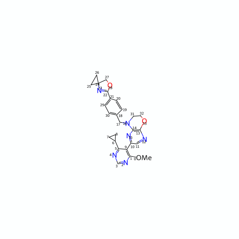 COc1ncnc(C2CC2)c1-c1cnc2c(n1)N(Cc1ccc(C3=NC4(CC4)CO3)cc1)CCO2